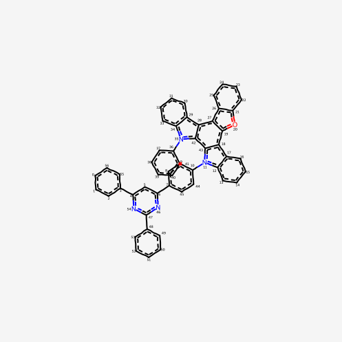 c1ccc(-c2cc(-c3ccc(-n4c5ccccc5c5c6oc7ccccc7c6c6c7ccccc7n(-c7ccccc7)c6c54)cc3)nc(-c3ccccc3)n2)cc1